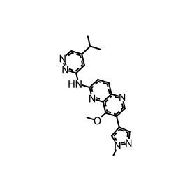 COc1c(-c2cnn(C)c2)cnc2ccc(Nc3cc(C(C)C)cnn3)nc12